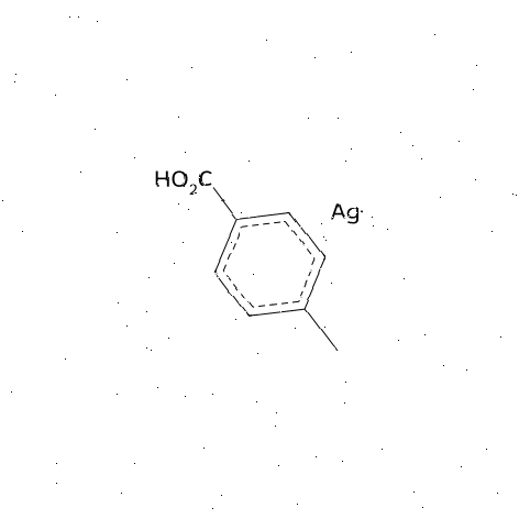 Cc1ccc(C(=O)O)cc1.[Ag]